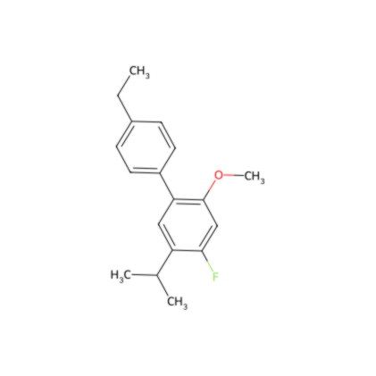 CCc1ccc(-c2cc(C(C)C)c(F)cc2OC)cc1